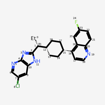 CC[C@@H](c1nc2ncc(Cl)cc2[nH]1)[C@H]1CC[C@@H](c2ccnc3ccc(F)cc32)CC1